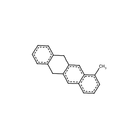 Cc1cccc2cc3c(cc12)Cc1ccccc1C3